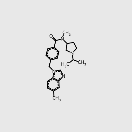 Cc1ccc2c(c1)ncn2Cc1ccc(C(=O)N(C)C2CCN(C(C)C)C2)cc1